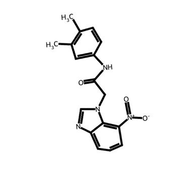 Cc1ccc(NC(=O)Cn2cnc3cccc([N+](=O)[O-])c32)cc1C